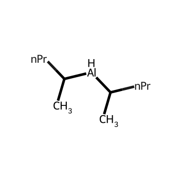 CCC[CH](C)[AlH][CH](C)CCC